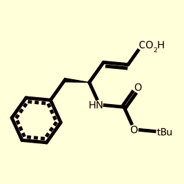 CC(C)(C)OC(=O)N[C@H](C=CC(=O)O)Cc1ccccc1